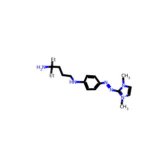 CCC(N)(CC)CCCNc1ccc(/N=N/c2n(C)cc[n+]2C)cc1